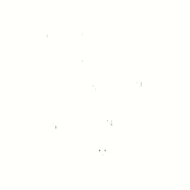 C=CC(=O)NC1(C#Cc2cnccc2-c2[nH]c3c(c2Nc2cccc(Cl)c2OC)C(=O)NCC3)CCN(C)CC1